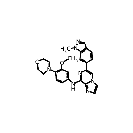 COc1cc(Nc2nc(-c3ccc4cnn(C)c4c3)cn3ccnc23)ccc1N1CCOCC1